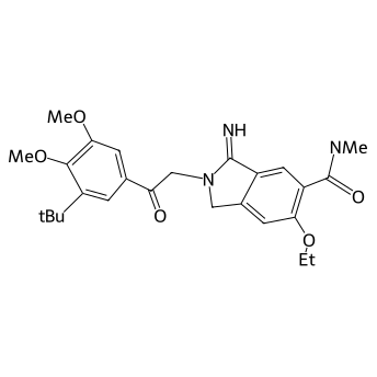 CCOc1cc2c(cc1C(=O)NC)C(=N)N(CC(=O)c1cc(OC)c(OC)c(C(C)(C)C)c1)C2